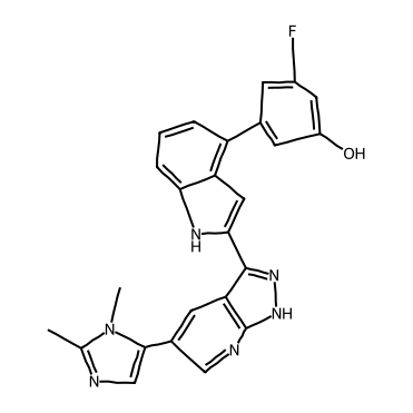 Cc1ncc(-c2cnc3[nH]nc(-c4cc5c(-c6cc(O)cc(F)c6)cccc5[nH]4)c3c2)n1C